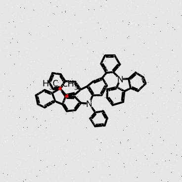 CC1(C)c2ccccc2-c2ccc(N(c3ccccc3)c3ccc(-c4ccccc4-n4c5ccccc5c5ccccc54)cc3-c3ccc4ccccc4c3)cc21